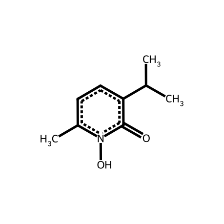 Cc1ccc(C(C)C)c(=O)n1O